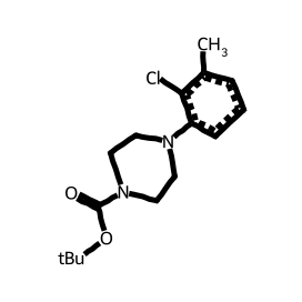 Cc1cccc(N2CCN(C(=O)OC(C)(C)C)CC2)c1Cl